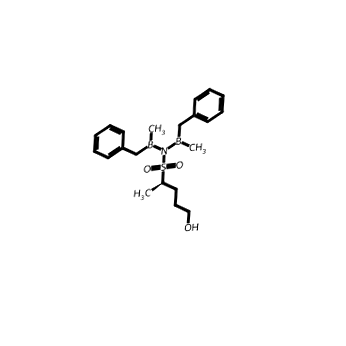 CB(Cc1ccccc1)N(B(C)Cc1ccccc1)S(=O)(=O)[C@H](C)CCCO